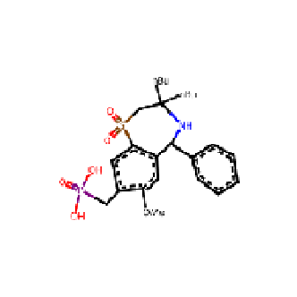 CCCCC1(CCCC)CS(=O)(=O)c2cc(CP(=O)(O)O)c(OC)cc2C(c2ccccc2)N1